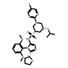 COc1cccc(OC)c1-n1c(NS(=O)(=O)[C@H]2C[C@@H](OC(C)C)CN(c3ncc(F)cn3)C2)nnc1[C@H]1CCCO1